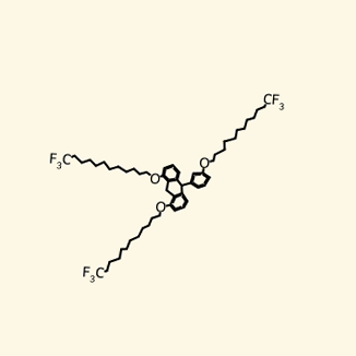 FC(F)(F)CCCCCCCCCCCOc1cccc(C2c3cccc(OCCCCCCCCCCCC(F)(F)F)c3Cc3c(OCCCCCCCCCCCC(F)(F)F)cccc32)c1